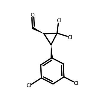 O=C[C@@H]1[C@H](c2cc(Cl)cc(Cl)c2)C1(Cl)Cl